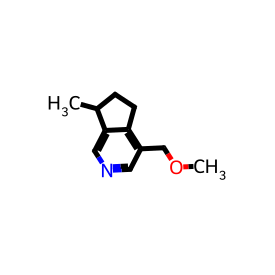 COCc1cncc2c1CCC2C